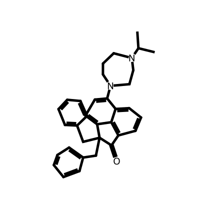 CC(C)N1CCCN(c2ccc3c4c(cccc24)C(=O)C3(Cc2ccccc2)Cc2ccccc2)CC1